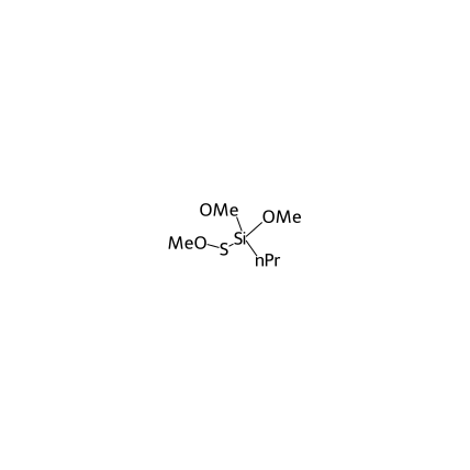 CCC[Si](OC)(OC)SOC